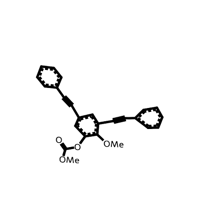 COC(=O)Oc1cc(C#Cc2ccccc2)cc(C#Cc2ccccc2)c1OC